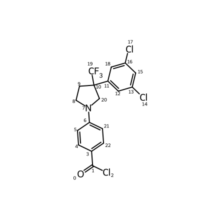 O=C(Cl)c1ccc(N2CCC(c3cc(Cl)cc(Cl)c3)(C(F)(F)F)C2)cc1